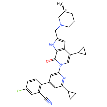 C[C@H]1CCCN(Cc2cc3c(C4CC4)cn(-c4cc(-c5ccc(F)cc5C#N)cc(C5CC5)n4)c(=O)c3[nH]2)C1